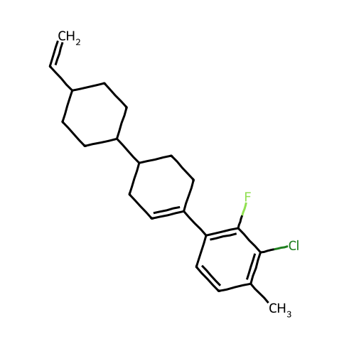 C=CC1CCC(C2CC=C(c3ccc(C)c(Cl)c3F)CC2)CC1